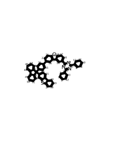 c1ccc(-c2nc(-c3ccccc3)nc(-c3ccc4oc5ccc(-c6ccc(C7(c8ccc9c(c8)sc8ccccc89)c8ccccc8-c8ccccc87)cc6)cc5c4c3)n2)cc1